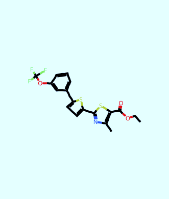 CCOC(=O)c1sc(-c2ccc(-c3cccc(OC(F)(F)F)c3)s2)nc1C